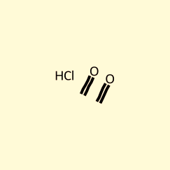 C=O.C=O.Cl